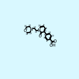 O=C(O)c1ccc(-c2cccn(CCN3CCOCC3)c2=O)cc1